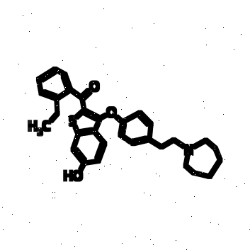 CCc1ccccc1C(=O)c1sc2cc(O)ccc2c1Oc1ccc(CCN2CCCCCC2)cc1